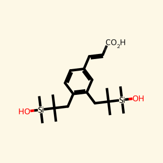 CC(C)(Cc1ccc(/C=C/C(=O)O)cc1CC(C)(C)[Si](C)(C)O)[Si](C)(C)O